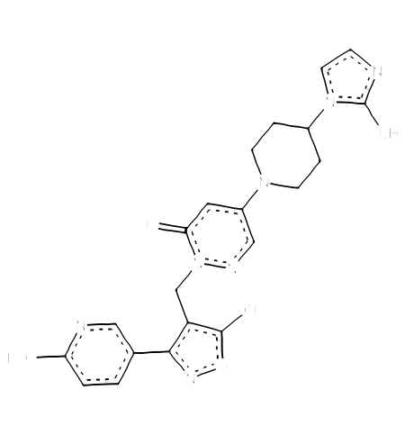 Cc1ccc(-c2noc(C)c2Cn2ncc(N3CCC(n4ccnc4C)CC3)cc2=O)cn1